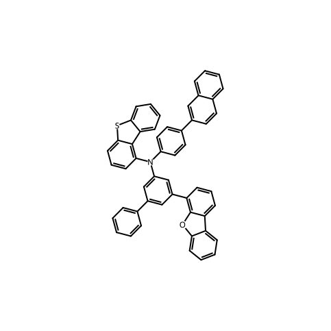 c1ccc(-c2cc(-c3cccc4c3oc3ccccc34)cc(N(c3ccc(-c4ccc5ccccc5c4)cc3)c3cccc4sc5ccccc5c34)c2)cc1